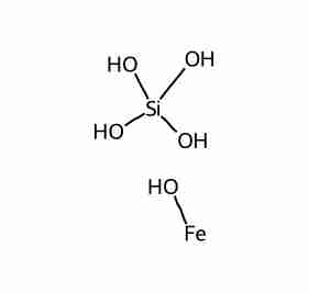 O[Si](O)(O)O.[OH][Fe]